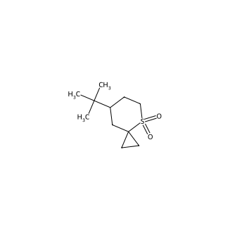 CC(C)(C)C1CCS(=O)(=O)C2(CC2)C1